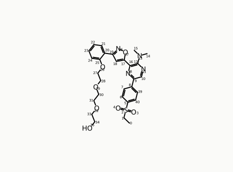 CCS(=O)(=O)c1ccc(-c2cnc(N(C)C)c(-c3cc(-c4ccccc4OCCOCCOCCO)no3)n2)cc1